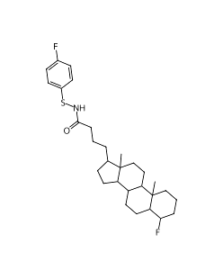 CC12CCC3C(CCC4C(F)CCCC43C)C1CCC2CCCC(=O)NSc1ccc(F)cc1